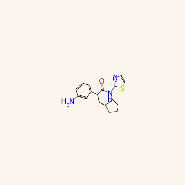 Nc1cccc(C(CC2CCCC2)C(=O)Nc2nccs2)c1